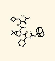 CC1(C)C2CN(C(=O)[C@@H](NC(=O)OC34CC5CC(CC(C5)C3)C4)C3CCCCC3)[C@H](C(=O)NC(CC3CCC3)C(=O)C(N)=O)C21